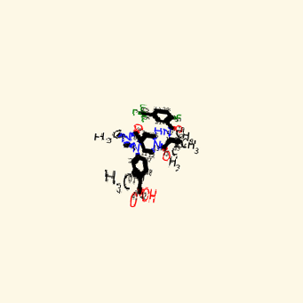 Cc1cc(N2CN(C)C(=O)C23CCN(C(=O)[C@H](NC(=O)c2cc(C(F)(F)F)ccc2F)C(C)(C)C)CC3)ccc1C(=O)O